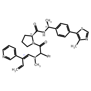 C=C/C(=C\N(C)C(C(=O)N1CCC[C@H]1C(=O)N[C@@H](C)c1ccc(-c2scnc2C)cc1)C(C)C)c1cccnc1